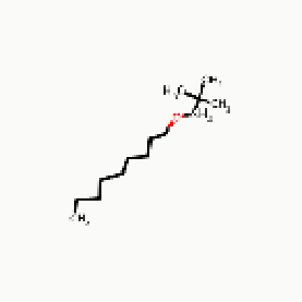 CCCCCCCCCO[SiH2]C(C)(C)C